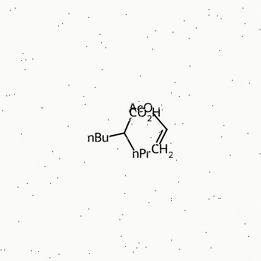 C=COC(C)=O.CCCCC(CCC)C(=O)O